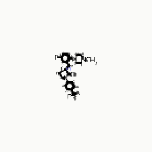 CN1CCN(c2ccc(F)cc2/C=C2\SCCN(c3ccc(C(F)(F)F)cc3)C2=O)CC1